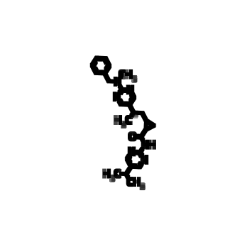 CC(C)c1cnc(NC(=O)C2CC2C[C@@H](C)c2cnc(N(C)Cc3ccccc3)nc2)nc1